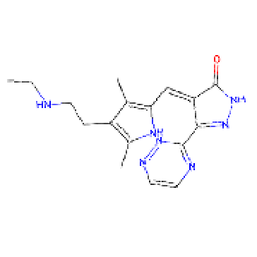 CCNCCc1c(C)[nH]c(/C=C2/C(=O)NN=C2c2nccnn2)c1C